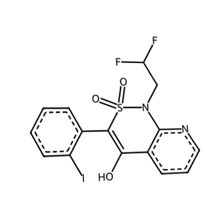 O=S1(=O)C(c2ccccc2I)=C(O)c2cccnc2N1CC(F)F